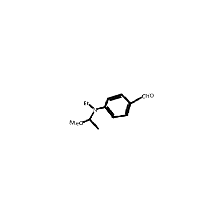 CCN(c1ccc(C=O)cc1)C(C)OC